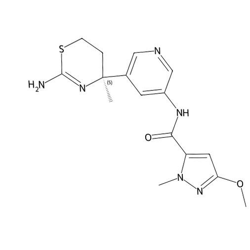 COc1cc(C(=O)Nc2cncc([C@]3(C)CCSC(N)=N3)c2)n(C)n1